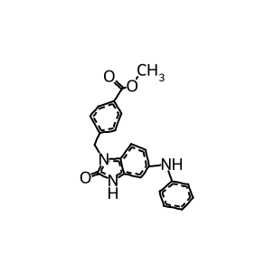 COC(=O)c1ccc(Cn2c(=O)[nH]c3cc(Nc4ccccc4)ccc32)cc1